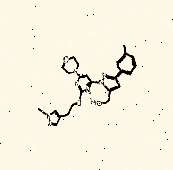 Cc1cccc(-c2cc(CO)n(-c3cc(N4CCOCC4)nc(OCCc4cnn(C)c4)n3)n2)c1